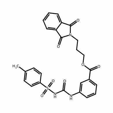 Cc1ccc(S(=O)(=O)NC(=O)Nc2cccc(C(=O)OCCCN3C(=O)c4ccccc4C3=O)c2)cc1